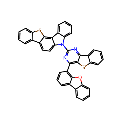 c1ccc2c(c1)oc1c(-c3nc(-n4c5ccccc5c5c6sc7ccccc7c6ccc54)nc4c3sc3ccccc34)cccc12